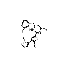 Cn1nccc1-c1cc(C(=O)N[C@H](CN)Cc2cccc(F)c2)oc1Cl